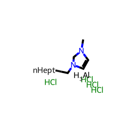 CCCCCCCCN1C=CN(C)C1.Cl.Cl.Cl.Cl.[AlH3]